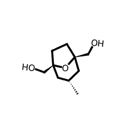 C[C@@H]1C[C@]2(CO)CC[C@](CO)(C1)O2